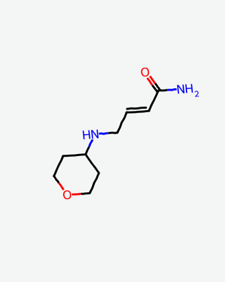 NC(=O)C=CCNC1CCOCC1